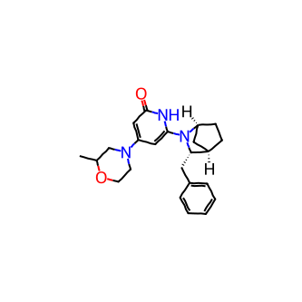 CC1CN(c2cc(N3[C@H]4CC[C@H](C4)[C@@H]3Cc3ccccc3)[nH]c(=O)c2)CCO1